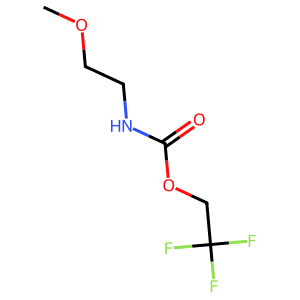 COCCNC(=O)OCC(F)(F)F